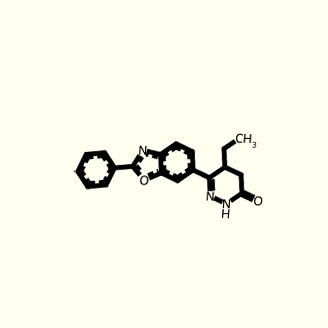 CCC1CC(=O)NN=C1c1ccc2nc(-c3cc[c]cc3)oc2c1